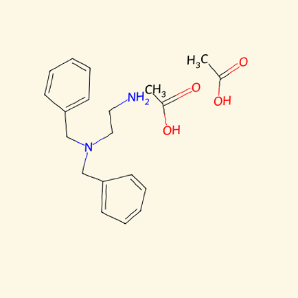 CC(=O)O.CC(=O)O.NCCN(Cc1ccccc1)Cc1ccccc1